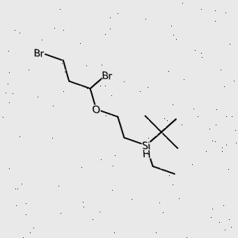 CC[SiH](CCOC(Br)CCBr)C(C)(C)C